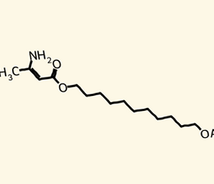 CC(=O)OCCCCCCCCCCCOC(=O)/C=C(/C)N